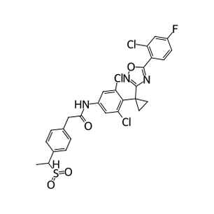 CC(c1ccc(CC(=O)Nc2cc(Cl)c(C3(c4noc(-c5ccc(F)cc5Cl)n4)CC3)c(Cl)c2)cc1)[SH](=O)=O